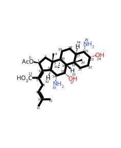 CC(=O)O[C@H]1C[C@@]2(C)[C@H](/C1=C(\CC=C(C)C)C(=O)O)[C@@H](N)[C@@H](O)[C@H]1[C@@]3(C)CC[C@@H](O)[C@@H](N)[C@@H]3CC[C@@]12C